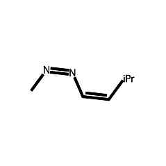 C/N=N\C=C/C(C)C